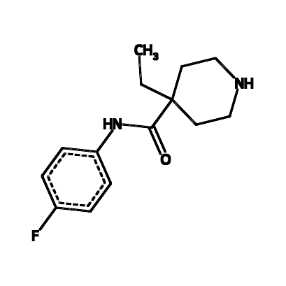 CCC1(C(=O)Nc2ccc(F)cc2)CCNCC1